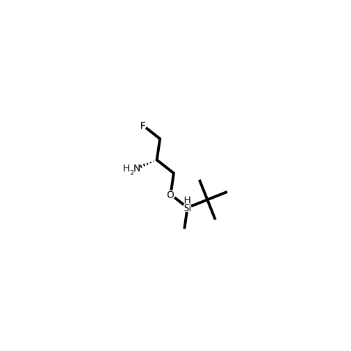 C[SiH](OC[C@H](N)CF)C(C)(C)C